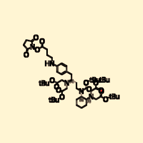 CC(C)(C)OC(=O)CN(CC(=O)OC(C)(C)C)[C@@H](CCN(C(=O)OC(C)(C)C)[C@H]1CCCC[C@@H]1N(CC(=O)OC(C)(C)C)CC(=O)OC(C)(C)C)Cc1ccc(NCCCC(=O)ON2C(=O)CCC2=O)cc1